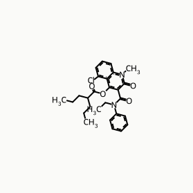 CCCC(CCC)C(=O)Oc1c(C(=O)N(CC)c2ccccc2)c(=O)n(C)c2cccc(Cl)c12